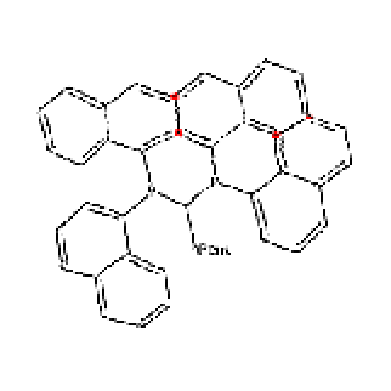 CCCCCC(P(c1cccc2ccccc12)c1cccc2ccccc12)P(c1cccc2ccccc12)c1cccc2ccccc12